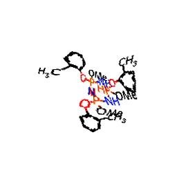 COP1(Oc2ccccc2C)=N[PH](OC)(Oc2ccccc2C)N[PH](OC)(Oc2ccccc2C)N1